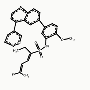 CC/C(=C\C=C(/C)F)S(=O)(=O)Nc1cc(-c2ccc3nccc(-c4ccnnc4)c3c2)cnc1OC